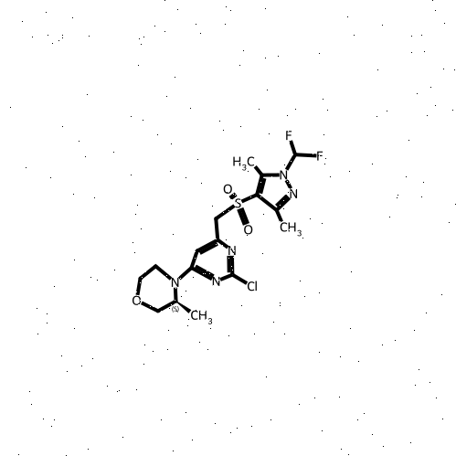 Cc1nn(C(F)F)c(C)c1S(=O)(=O)Cc1cc(N2CCOC[C@@H]2C)nc(Cl)n1